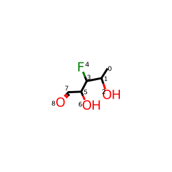 CC(O)C(F)C(O)C=O